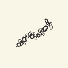 CC(=O)c1cc(Oc2ccc(S(=O)(=O)c3ccc(-n4c(=O)n(C)c5ccccc54)cc3)cc2)ccc1Oc1ccc(S(=O)(=O)c2ccc(C)cc2)cc1